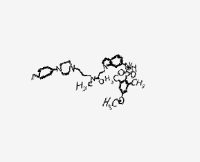 COc1cc(C)c(S(=O)(=O)Nc2ccc3ccn(CCC(=O)N(C)CCCN4CCN(c5ccncc5)CC4)c3c2)c(C)c1